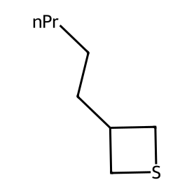 CCCCCC1CSC1